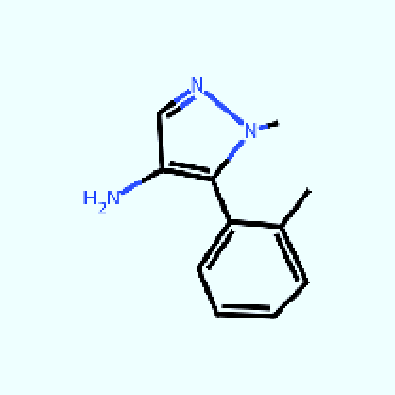 Cc1ccccc1-c1c(N)cnn1C